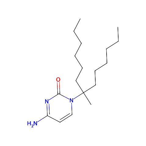 CCCCCCC(C)(CCCCCC)n1ccc(N)nc1=O